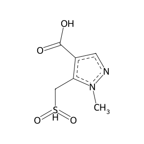 Cn1ncc(C(=O)O)c1C[SH](=O)=O